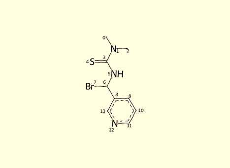 CN(C)C(=S)NC(Br)c1cccnc1